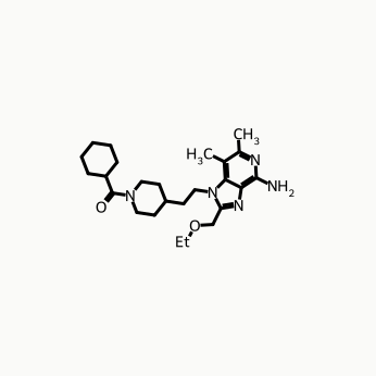 CCOCc1nc2c(N)nc(C)c(C)c2n1CCC1CCN(C(=O)C2CCCCC2)CC1